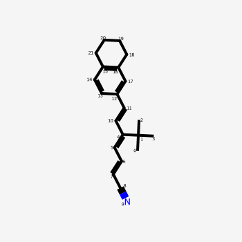 CC(C)(C)C(=C\C=C\C#N)/C=C/c1ccc2c(c1)CCCC2